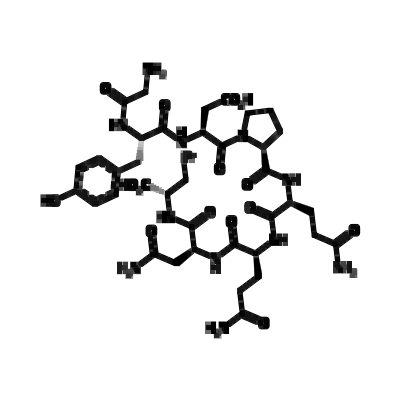 CC(C)C[C@H](NC(=O)[C@H](CC(N)=O)NC(=O)[C@H](CCC(N)=O)NC(=O)[C@H](CCC(N)=O)NC(=O)[C@@H]1CCCN1C(=O)[C@H](CC(=O)O)NC(=O)[C@H](Cc1ccc(O)cc1)NC(=O)CN)C(=O)O